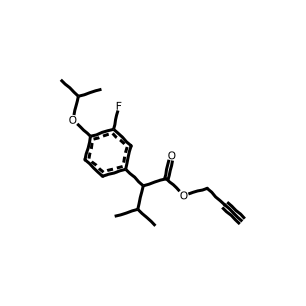 C#CCOC(=O)C(c1ccc(OC(C)C)c(F)c1)C(C)C